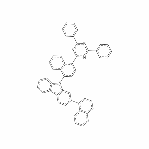 c1ccc(-c2nc(-c3ccccc3)nc(-c3ccc(-n4c5ccccc5c5ccc(-c6cccc7ccccc67)cc54)c4ccccc34)n2)cc1